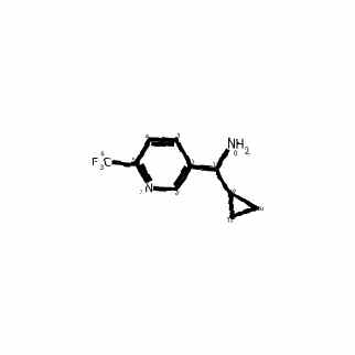 NC(c1ccc(C(F)(F)F)nc1)C1CC1